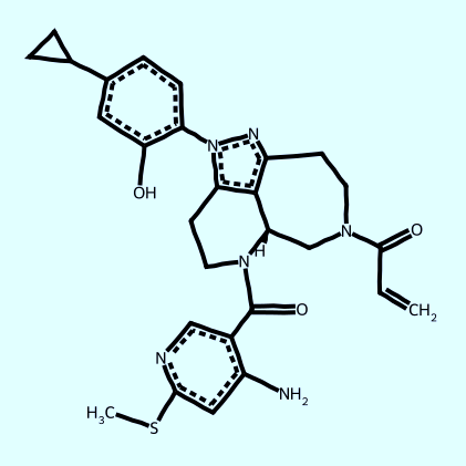 C=CC(=O)N1CCc2nn(-c3ccc(C4CC4)cc3O)c3c2[C@H](C1)N(C(=O)c1cnc(SC)cc1N)CC3